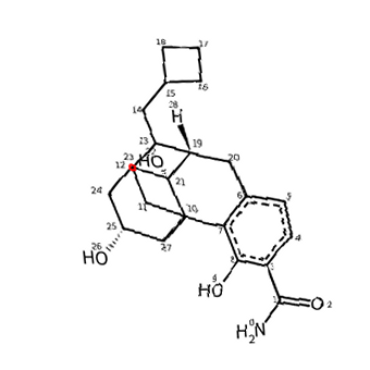 NC(=O)c1ccc2c(c1O)C13CCC(CC4CCC4)[C@H](C2)[C@]1(O)CC[C@@H](O)C3